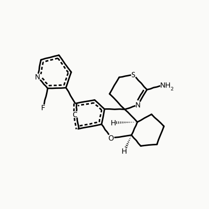 NC1=NC2(CCS1)c1cc(-c3cccnc3F)ccc1O[C@@H]1CCCC[C@@H]12